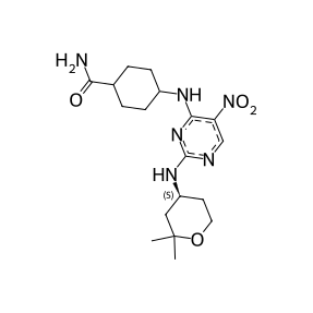 CC1(C)C[C@@H](Nc2ncc([N+](=O)[O-])c(NC3CCC(C(N)=O)CC3)n2)CCO1